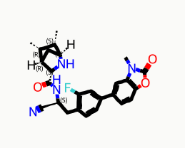 C[C@@H]1[C@H](C)[C@@H]2C[C@H]1[C@@H](C(=O)N[C@H](C#N)Cc1ccc(-c3ccc4oc(=O)n(C)c4c3)cc1F)N2